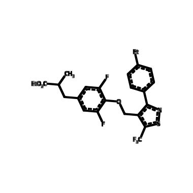 CCOC(=O)C(C)Cc1cc(F)c(OCc2c(-c3ccc(CC)cc3)nsc2C(F)(F)F)c(F)c1